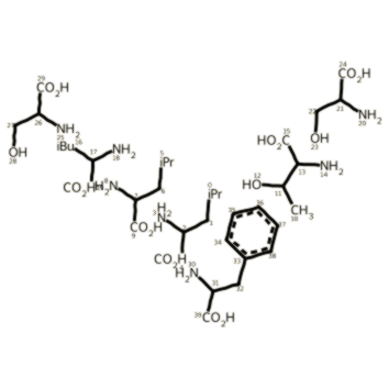 CC(C)CC(N)C(=O)O.CC(C)CC(N)C(=O)O.CC(O)C(N)C(=O)O.CCC(C)C(N)C(=O)O.NC(CO)C(=O)O.NC(CO)C(=O)O.NC(Cc1ccccc1)C(=O)O